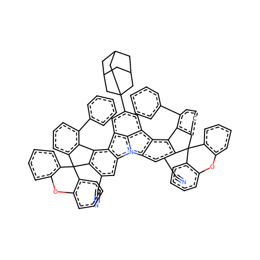 N#Cc1cc2c(c3c1C1(c4ccccc4Oc4ccccc41)c1cccc(-c4ccccc4)c1-3)c1cc(C34CC5CC(CC(C5)C3)C4)cc3c4c5c(c(C#N)cc4n2c13)C1(c2ccccc2Oc2ccccc21)c1cccc(-c2ccccc2)c1-5